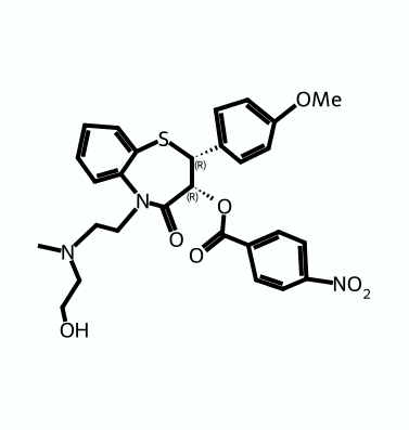 COc1ccc([C@H]2Sc3ccccc3N(CCN(C)CCO)C(=O)[C@H]2OC(=O)c2ccc([N+](=O)[O-])cc2)cc1